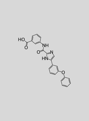 O=C(O)c1cccc(NC(=O)c2ncc(-c3cccc(Oc4ccccc4)c3)[nH]2)c1